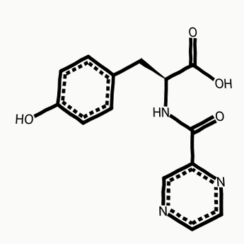 O=C(N[C@@H](Cc1ccc(O)cc1)C(=O)O)c1cnccn1